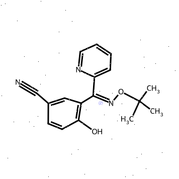 CC(C)(C)O/N=C(\c1ccccn1)c1cc(C#N)ccc1O